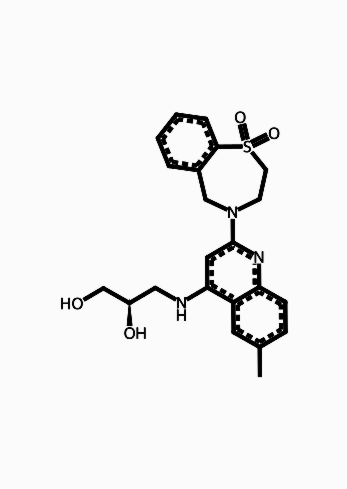 Cc1ccc2nc(N3CCS(=O)(=O)c4ccccc4C3)cc(NC[C@@H](O)CO)c2c1